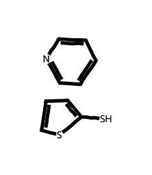 Sc1cccs1.c1ccncc1